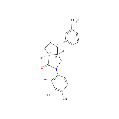 Cc1c(N2C[C@H]3[C@H](CC[C@@H]3c3cccc(C(=O)O)c3)C2=O)ccc(C#N)c1Cl